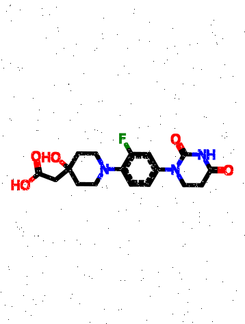 O=C(O)CC1(O)CCN(c2ccc(N3CCC(=O)NC3=O)cc2F)CC1